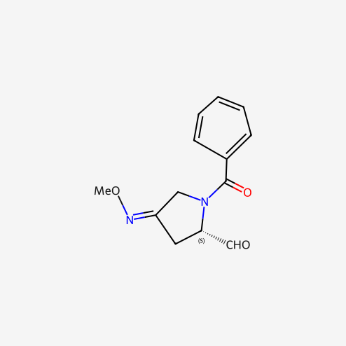 CON=C1C[C@@H](C=O)N(C(=O)c2ccccc2)C1